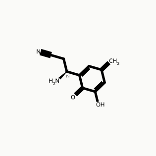 C=C1C=C(O)C(=O)C([C@@H](N)CC#N)=C1